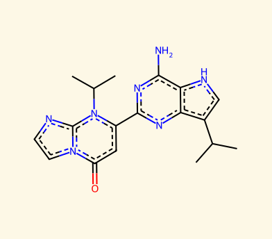 CC(C)c1c[nH]c2c(N)nc(-c3cc(=O)n4ccnc4n3C(C)C)nc12